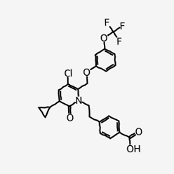 O=C(O)c1ccc(CCn2c(COc3cccc(OC(F)(F)F)c3)c(Cl)cc(C3CC3)c2=O)cc1